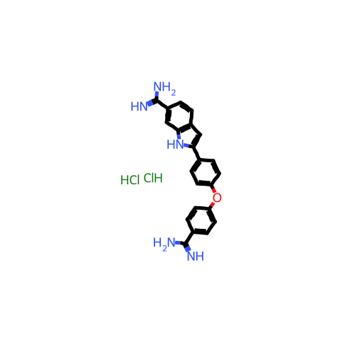 Cl.Cl.N=C(N)c1ccc(Oc2ccc(-c3cc4ccc(C(=N)N)cc4[nH]3)cc2)cc1